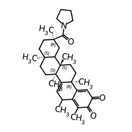 CC1=C2C(=CC(=O)C1=O)[C@]1(C)CC[C@@]3(C)C4C[C@](C)(C(=O)N5CCCC5)CC[C@]4(C)CC[C@]3(C)C1=CC2C